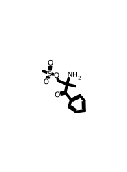 CC(N)(COS(C)(=O)=O)C(=O)c1ccccc1